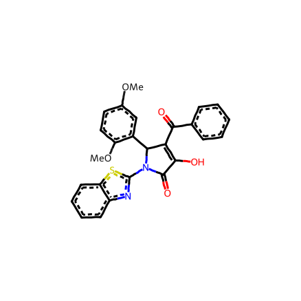 COc1ccc(OC)c(C2C(C(=O)c3ccccc3)=C(O)C(=O)N2c2nc3ccccc3s2)c1